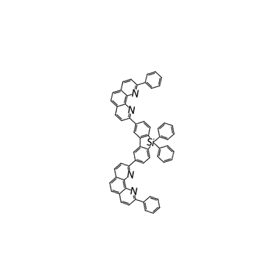 c1ccc(-c2ccc3ccc4ccc(-c5ccc6c(c5)-c5cc(-c7ccc8ccc9ccc(-c%10ccccc%10)nc9c8n7)ccc5[Si]6(c5ccccc5)c5ccccc5)nc4c3n2)cc1